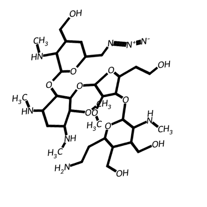 CNC1CC(NC)C(OC2OC(CN=[N+]=[N-])CC(CO)C2NC)C(OC2OC(CCO)C(OC3OC(CCN)C(CO)C(CO)C3NC)C2OC)C1OC